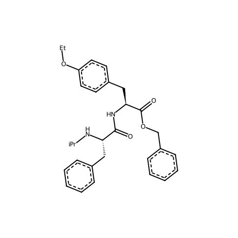 CCOc1ccc(C[C@H](NC(=O)[C@H](Cc2ccccc2)NC(C)C)C(=O)OCc2ccccc2)cc1